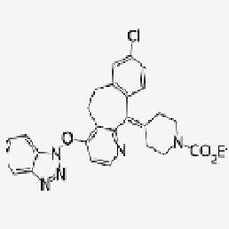 CCOC(=O)N1CCC(=C2c3ccc(Cl)cc3CCc3c(On4nnc5ccccc54)ccnc32)CC1